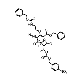 CC(OC(=O)OCc1ccc([N+](=O)[O-])cc1)[C@H]1C(=O)N2C(C(=O)OCc3ccccc3)=C(OCCNC(=O)OCc3ccccc3)C(=[N+]=[N-])[S@+]([O-])[C@@H]12